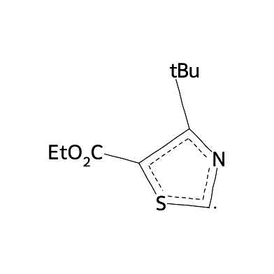 CCOC(=O)c1s[c]nc1C(C)(C)C